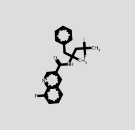 CC(F)(I)CC(C)(Cc1ccccc1)NC(=O)c1cnc2c(F)cccc2c1